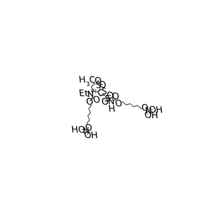 CCN(C(=O)OCCCCCCON(O)O)[C@H]1CC(C)S(=O)(=O)c2sc(S(=O)(=O)NC(=O)OCCCCCCON(O)O)cc21